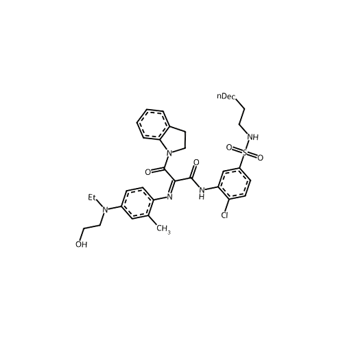 CCCCCCCCCCCCNS(=O)(=O)c1ccc(Cl)c(NC(=O)/C(=N/c2ccc(N(CC)CCO)cc2C)C(=O)N2CCc3ccccc32)c1